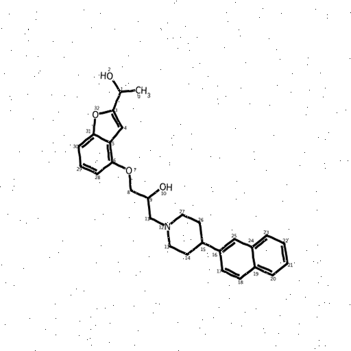 CC(O)c1cc2c(OCC(O)CN3CCC(c4ccc5ccccc5c4)CC3)cccc2o1